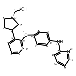 OC[C@H]1CCC(c2cccnc2Oc2ccc(Nc3ccccn3)cc2)C1